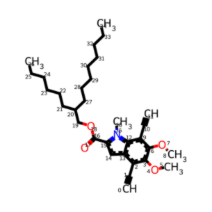 C#Cc1c(OC)c(OC)c(C#C)c2c1cc(C(=O)OCC(CCCCCC)CCCCCCCC)n2C